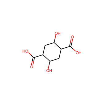 O=C(O)C1CC(O)C(C(=O)O)CC1O